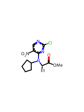 CC[C@H](C(=O)OC)N(c1nc(Cl)ncc1[N+](=O)[O-])C1CCCC1